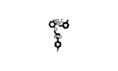 Cc1cccc(COC2CCCCC2OCc2coc(-c3ccc(F)cc3)n2)c1C(=O)O